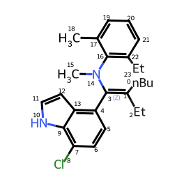 CCCC/C(CC)=C(/c1ccc(Cl)c2[nH]ccc12)N(C)c1c(C)cccc1CC